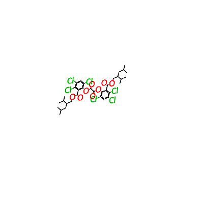 CC(C)CC(COC(=O)c1c(Cl)c(Cl)cc(Cl)c1OC(=O)C(=O)Oc1c(Cl)cc(Cl)c(Cl)c1C(=O)OCC(CC(C)C)C(C)C)C(C)C